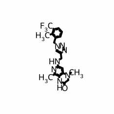 Cc1nc(NCc2cn(Cc3cccc(C(F)(F)F)c3C)nn2)cc2c1NC(=O)CN2C